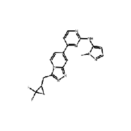 Cn1nccc1Nc1nccc(-c2ccn3c(CC4CC4(F)F)nnc3c2)n1